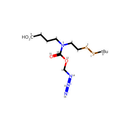 CC(C)(C)SSCCN(CCCC(=O)O)C(=O)OCN=[N+]=[N-]